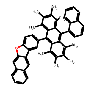 Bc1c(B)c(B)c2c(-c3cccc4ccccc34)c3c(B)c(B)c(B)c(B)c3c(-c3ccc4oc5cc6ccccc6cc5c4c3)c2c1B